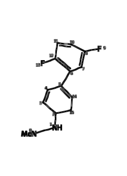 CNNC1C=CC(c2cc(F)ccc2F)=CC1